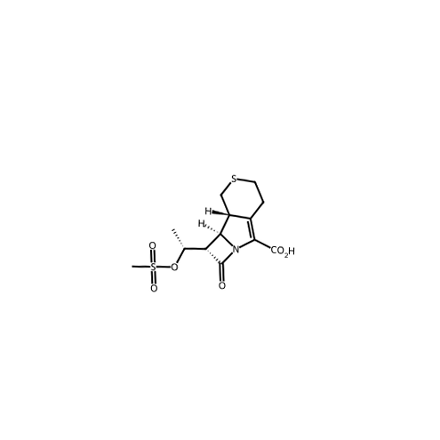 C[C@@H](OS(C)(=O)=O)[C@H]1C(=O)N2C(C(=O)O)=C3CCSC[C@H]3[C@H]12